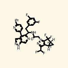 CC(C)c1ccc(-c2c(C(Cc3cc(F)cc(F)c3)NC(=O)Cn3nc(C(F)F)c4c3C(F)(F)[C@@H]3C[C@H]43)ncc3[nH]ncc23)cn1